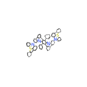 C1=CC(c2c3c4cccc5c6ccc(N(c7ccccc7)c7cccc8c9c(sc78)C=CCC9)cc6n(c3c(-c3ccccc3)c3c6c7n(c23)C2=CC(N(c3ccccc3)c3cccc8c3SC3CCC=CC83)CC=C2C7CC=C6)c54)CCC1